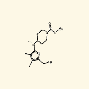 Cc1c(CC#N)sc([C@H](C)C2CCN(C(=O)OC(C)(C)C)CC2)c1C